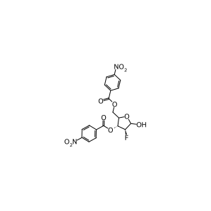 O=C(OCC1OC(O)[C@@H](F)[C@@H]1OC(=O)c1ccc([N+](=O)[O-])cc1)c1ccc([N+](=O)[O-])cc1